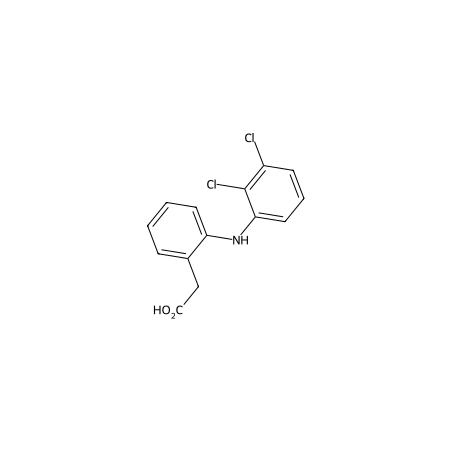 O=C(O)Cc1ccccc1Nc1cccc(Cl)c1Cl